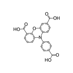 O=C(O)c1ccc(N2c3ccc(C(=O)O)cc3Oc3c(C(=O)O)cccc32)cc1